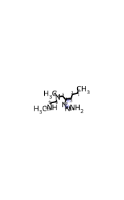 CCC/C=C(CN(C)CCNC)/N=N\N